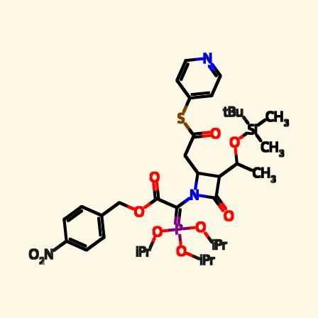 CC(C)OP(OC(C)C)(OC(C)C)=C(C(=O)OCc1ccc([N+](=O)[O-])cc1)N1C(=O)C(C(C)O[Si](C)(C)C(C)(C)C)C1CC(=O)Sc1ccncc1